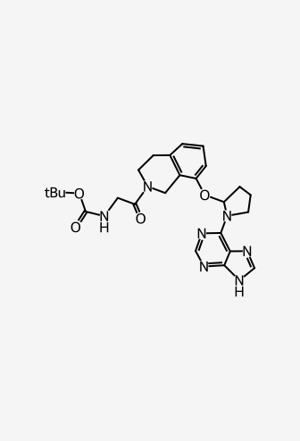 CC(C)(C)OC(=O)NCC(=O)N1CCc2cccc(OC3CCCN3c3ncnc4[nH]cnc34)c2C1